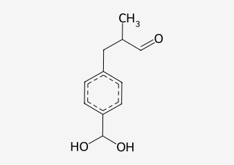 CC(C=O)Cc1ccc(C(O)O)cc1